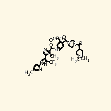 Cc1ccc(-n2cc(-c3cnc(C(=O)Nc4ccc(C(=O)N5CCN(C(=O)C6CC[N+](C)(C)CC6)CC5)c(Cl)c4)n3C)c(C(F)(F)F)n2)nc1.O=C[O-]